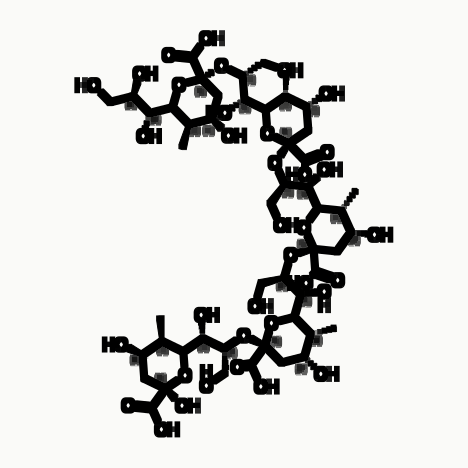 C[C@H]1C([C@H](O)[C@H](O)CO)O[C@@](O[C@H](CO)[C@@H](O)C2O[C@@](O[C@H](CO)[C@@H](O)C3O[C@@](O[C@H](CO)[C@@H](O)C4O[C@@](O[C@H](CO)[C@@H](O)C5O[C@](O)(C(=O)O)C[C@@H](O)[C@H]5C)(C(=O)O)C[C@@H](O)[C@H]4C)(C(=O)O)C[C@@H](O)[C@H]3C)(C(=O)O)C[C@@H](O)[C@H]2C)(C(=O)O)C[C@H]1O